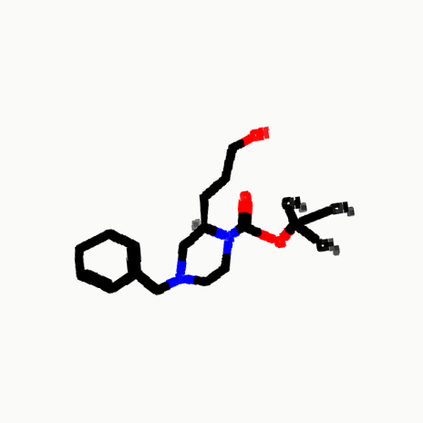 CC(C)(C)OC(=O)N1CCN(CC2=CCCC=C2)C[C@H]1CCCO